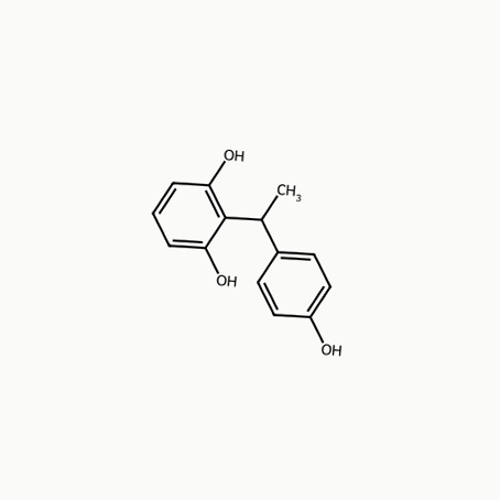 CC(c1ccc(O)cc1)c1c(O)cccc1O